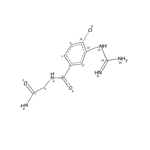 [NH]C(=O)CNC(=O)c1ccc(Cl)c(NC(=N)N)c1